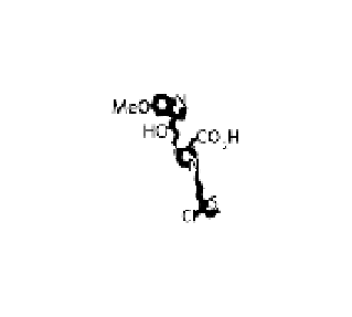 COc1ccc2nccc([C@H](O)CC[C@@H]3CCN(CCCCc4sccc4Cl)C[C@@H]3CC(=O)O)c2c1